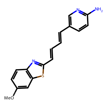 COc1ccc2nc(/C=C/C=C/c3ccc(N)nc3)sc2c1